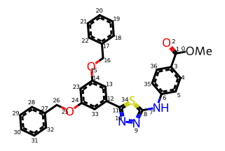 COC(=O)c1ccc(Nc2nnc(-c3cc(OCc4ccccc4)cc(OCc4ccccc4)c3)s2)cc1